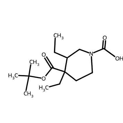 CCC1CN(C(=O)O)CCC1(CC)C(=O)OC(C)(C)C